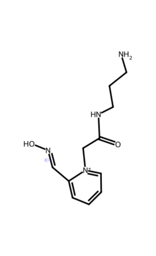 NCCCNC(=O)C[n+]1ccccc1/C=N/O